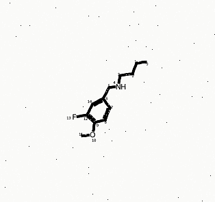 CCCCNCc1ccc(OC)c(F)c1